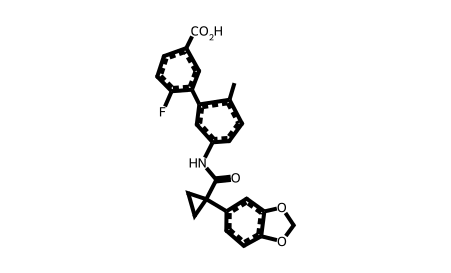 Cc1ccc(NC(=O)C2(c3ccc4c(c3)OCO4)CC2)cc1-c1cc(C(=O)O)ccc1F